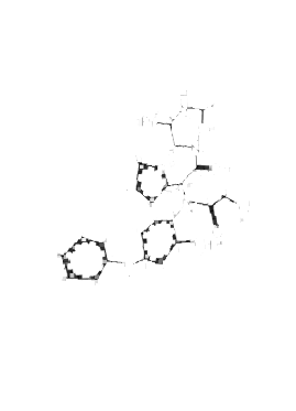 Cc1cc(Oc2ccccc2)ccc1N(C(=O)CCl)[C@H](C(=O)N1CCNC(C(C)C)C1)c1cccs1